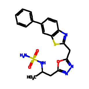 NS(=O)(=O)NC(Cc1nnc(Cc2nc3ccc(-c4ccccc4)cc3s2)o1)C(=O)O